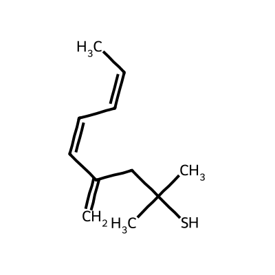 C=C(/C=C\C=C/C)CC(C)(C)S